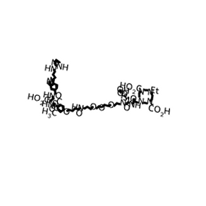 CCN1CCN(CC(=O)O)CCN(CC(=O)N[C@H](CSOOO)C(=O)NCCCOCCOCCOCCCNC(=O)CCCOc2cc(C)c(S(=O)(=O)N[C@@H](CNC(=O)c3ccc4c(cnn4CCCNc4ncc[nH]4)c3)C(=O)O)c(C)c2)CCN(C(=O)O)CC1